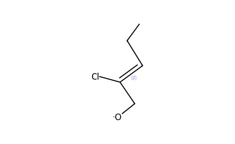 CC/C=C(\Cl)C[O]